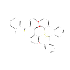 Cc1ccccc1C(=S)c1ccccc1-c1ccccc1Sc1ccccc1-c1ccccc1C(=S)c1ccccc1C